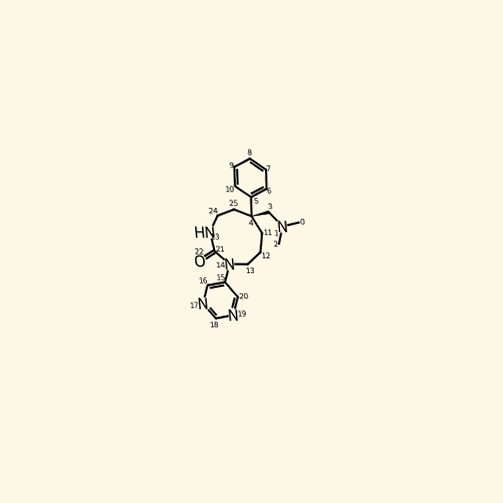 CN(C)C[C@@]1(c2ccccc2)CCCN(c2cncnc2)C(=O)NCC1